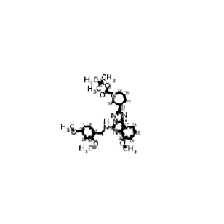 COc1ccc(CNc2nc3c(OC)cccc3c3nc(C4CCCN(C(=O)OC(C)(C)C)C4)nn23)c(OC)c1